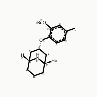 Cc1ccc(O[C@H]2C[C@H]3CCC[C@@H](C2)N3)c(OCC(C)C)c1